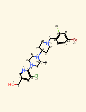 CC[C@H]1CN(c2ncc(CO)cc2Cl)CCN1C1CCN(Cc2ccc(Br)cc2F)CC1